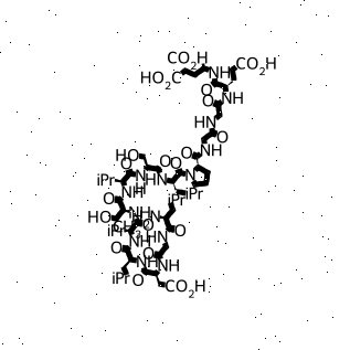 CC(C)C[C@H](NC(=O)[C@H](CC(=O)O)NC(=O)CNC(=O)[C@@H](N)CC(C)C)C(=O)N[C@H](C(=O)N[C@H](C(=O)N[C@H](C(=O)N[C@@H](CO)C(=O)N[C@@H](CC(C)C)C(=O)N1CCC[C@H]1C(=O)NCC(=O)NCC(=O)N[C@@H](CCC(=O)O)C(=O)N[C@@H](CCC(=O)O)C(=O)O)C(C)C)[C@@H](C)O)C(C)C